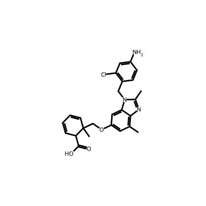 Cc1cc(OCC2(C)C=CC=CC2C(=O)O)cc2c1nc(C)n2Cc1ccc(N)cc1Cl